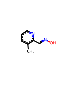 Cc1cccnc1/C=N/O